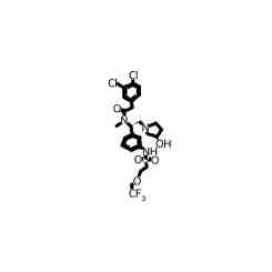 CN(C(=O)Cc1ccc(Cl)c(Cl)c1)[C@H](CN1CC[C@@H](O)C1)c1cccc(NS(=O)(=O)CCOCC(F)(F)F)c1